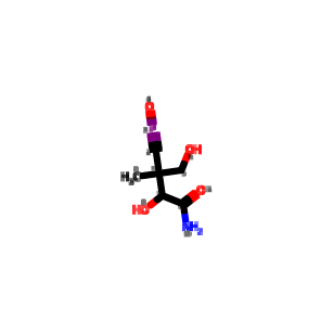 CC(C#P=O)(CO)C(O)C(N)=O